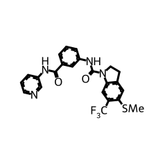 CSc1cc2c(cc1C(F)(F)F)N(C(=O)Nc1cccc(C(=O)Nc3cccnc3)c1)CC2